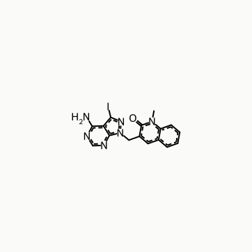 Cn1c(=O)c(Cn2nc(I)c3c(N)ncnc32)cc2ccccc21